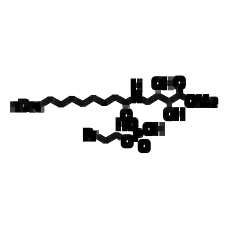 CCCCCCCCCCCCCCCCCC(=O)NCC(O)C(O)C(=O)OC.O=P(O)(O)OCCBr